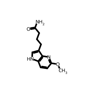 COc1ccc2[nH]cc(CCCC(N)=O)c2n1